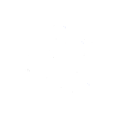 CCNc1ccc(Cc2cc(COP(=O)(N3CC3)N3CC3)ccc2[N+](=O)[O-])cc1